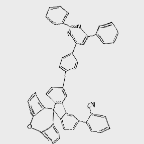 N#Cc1ccccc1-c1ccc2c(c1)-c1cc(-c3ccc(-c4cc(-c5ccccc5)nc(-c5ccccc5)n4)cc3)ccc1C21c2ccccc2Oc2ccccc21